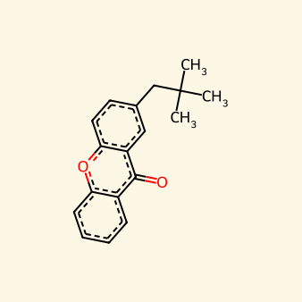 CC(C)(C)Cc1ccc2oc3ccccc3c(=O)c2c1